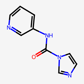 O=C(Nc1cccnc1)n1ccnc1